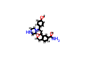 COc1ccc(C(CC2OCCc3ccc(C(N)=O)cc32)N2CCNCC2)cc1